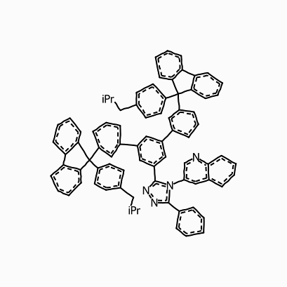 CC(C)Cc1ccc(C2(c3cccc(-c4cc(-c5cccc(C6(c7ccc(CC(C)C)cc7)c7ccccc7-c7ccccc76)c5)cc(-c5nnc(-c6ccccc6)n5-c5cnc6ccccc6c5)c4)c3)c3ccccc3-c3ccccc32)cc1